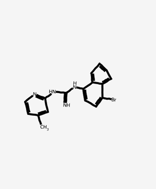 Cc1ccnc(NC(=N)Nc2ccc(Br)c3ccccc23)c1